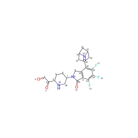 O=CC(=O)C1CCC(N2Cc3c(c(F)c(F)c(F)c3C3CC4CC(C3)N4)C2=O)CN1